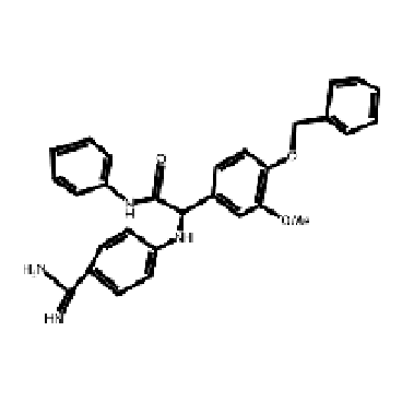 COc1cc([C@@H](Nc2ccc(C(=N)N)cc2)C(=O)Nc2ccccc2)ccc1OCc1ccccc1